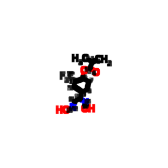 C=C(C)C(=O)Oc1ccc(C(C=NO)=NO)cc1C(F)(F)F